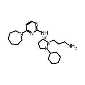 NCCC[C@@H]1[C@@H](Nc2nccc(N3CCCCCC3)n2)CCN1C1CCCCC1